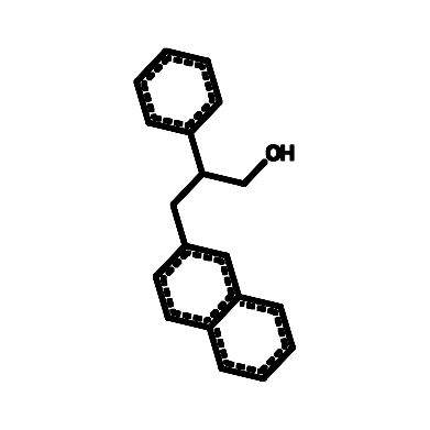 OCC(Cc1ccc2ccccc2c1)c1ccccc1